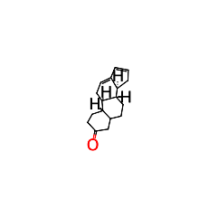 O=C1CC[C@H]2C(CC[C@@H]3[C@@H]2CC=C2C=CC[C@H]23)C1